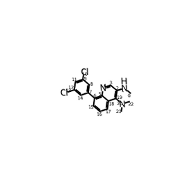 CNc1cnc2c(-c3cc(Cl)cc(Cl)c3)cccc2c1N(C)C